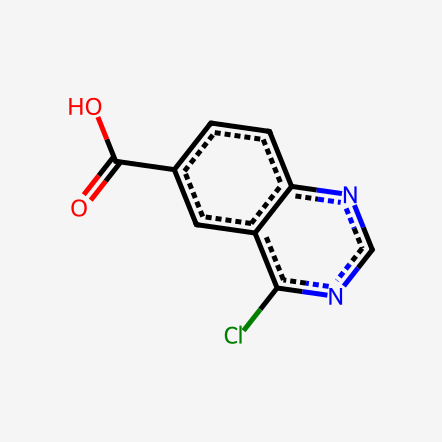 O=C(O)c1ccc2ncnc(Cl)c2c1